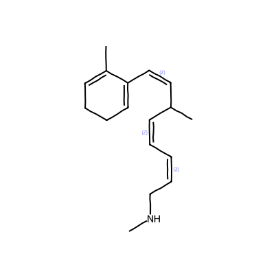 CNC/C=C\C=C/C(C)/C=C\C1=CCCC=C1C